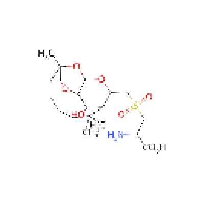 CC12CCCCC(C)(C)C3C(CS(=O)(=O)CC(N)C(=O)O)OC(O1)C(OC2)C3O